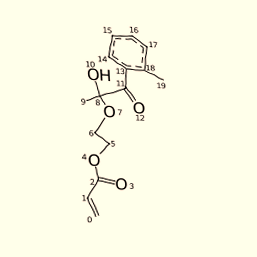 C=CC(=O)OCCOC(C)(O)C(=O)c1ccccc1C